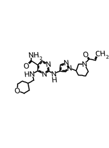 C=CC(=O)N1CCCC(n2cc(Nc3ncc(C(N)=O)c(NCC4CCOCC4)n3)cn2)C1